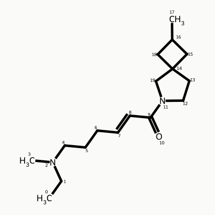 CCN(C)CCC/C=C/C(=O)N1CCC2(CC(C)C2)C1